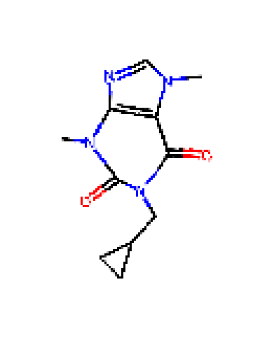 Cn1cnc2c1c(=O)n(CC1CC1)c(=O)n2C